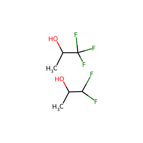 CC(O)C(F)(F)F.CC(O)C(F)F